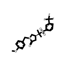 COc1ccc(CN2C[C@@H](C(C)(C)S(=O)(=O)c3cccc(C(F)(F)F)c3)CC2=O)cc1